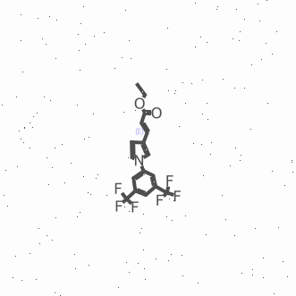 CCOC(=O)/C=C/c1ccn(-c2cc(C(F)(F)F)cc(C(F)(F)F)c2)c1